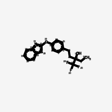 CCC(O)(CCc1ccc(Oc2nc3ccccc3s2)cc1)C(F)(F)F